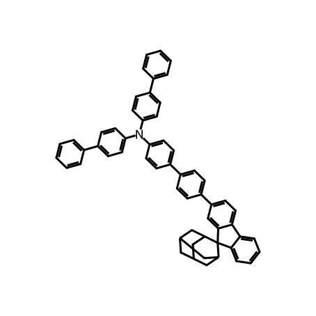 c1ccc(-c2ccc(N(c3ccc(-c4ccccc4)cc3)c3ccc(-c4ccc(-c5ccc6c(c5)C5(c7ccccc7-6)C6CC7CC(C6)CC5C7)cc4)cc3)cc2)cc1